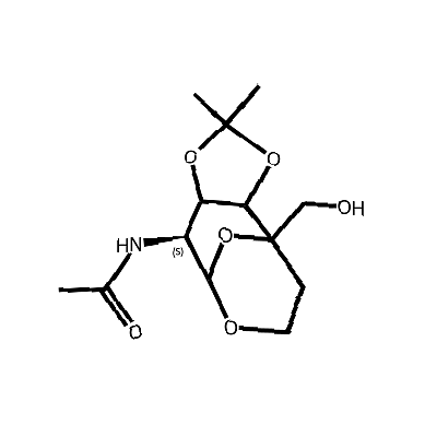 CC(=O)N[C@@H]1C2OCCC(CO)(O2)C2OC(C)(C)OC21